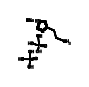 NCCc1c[nH]cn1.O=P(O)(O)O.O=P(O)(O)O.[NaH]